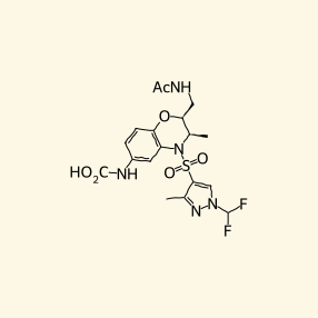 CC(=O)NC[C@@H]1Oc2ccc(NC(=O)O)cc2N(S(=O)(=O)c2cn(C(F)F)nc2C)[C@@H]1C